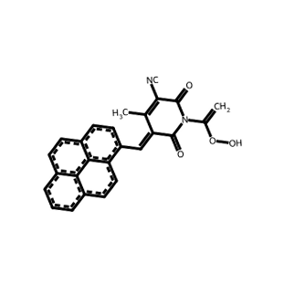 [C-]#[N+]C1=C(C)/C(=C\c2ccc3ccc4cccc5ccc2c3c45)C(=O)N(C(=C)OO)C1=O